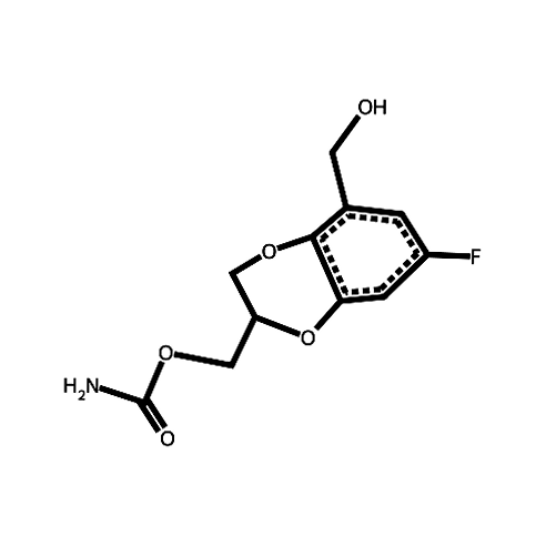 NC(=O)OCC1COc2c(CO)cc(F)cc2O1